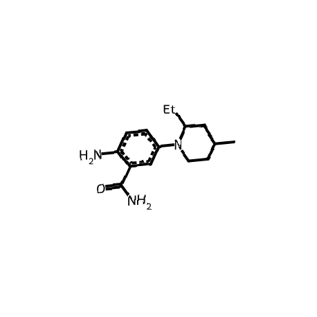 CCC1CC(C)CCN1c1ccc(N)c(C(N)=O)c1